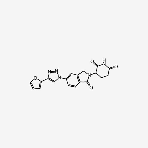 O=C1CCC(N2Cc3cc(-n4cc(-c5ccco5)nn4)ccc3C2=O)C(=O)N1